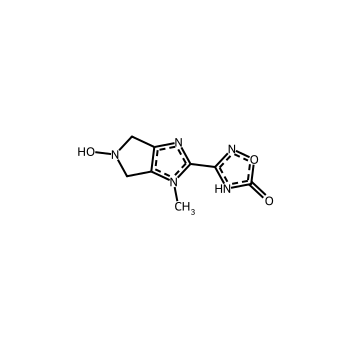 Cn1c(-c2noc(=O)[nH]2)nc2c1CN(O)C2